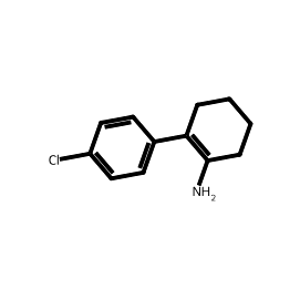 NC1=C(c2ccc(Cl)cc2)CCCC1